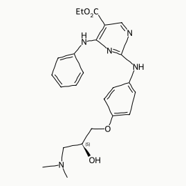 CCOC(=O)c1cnc(Nc2ccc(OC[C@@H](O)CN(C)C)cc2)nc1Nc1ccccc1